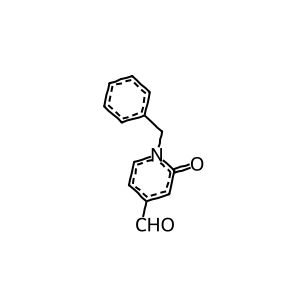 O=Cc1ccn(Cc2ccccc2)c(=O)c1